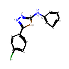 Brc1ccc(-c2nnc(Nc3ccccc3)s2)cc1